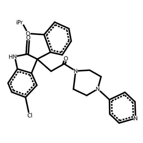 CC(C)Oc1ccccc1C1(CC(=O)N2CCN(c3ccncc3)CC2)C(=O)Nc2ccc(Cl)cc21